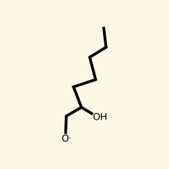 CCCCCC(O)C[O]